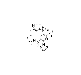 C[C@@H]1CC[C@@H](Oc2cc(N)ccn2)CN1C(=O)c1ccc(C(F)(F)F)nc1-n1nccn1